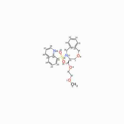 COCCOC[C@@H]1COCc2ccccc2CN1S(=O)(=O)c1cccc2cccnc12